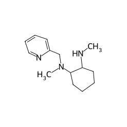 CNC1CCCCC1N(C)Cc1ccccn1